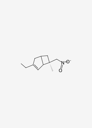 CCC1=CC2C(C1)C[C@@]2(C)C[N+](=O)[O-]